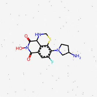 NC1CCN(c2c(F)cc3c4c2SCNC4C(=O)N(O)C3=O)C1